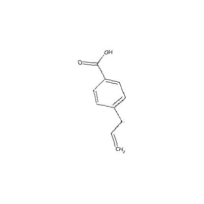 C=C[CH]c1ccc(C(=O)O)cc1